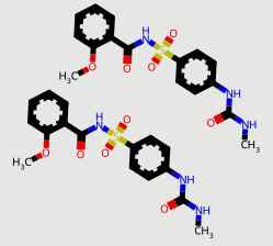 CNC(=O)Nc1ccc(S(=O)(=O)NC(=O)c2ccccc2OC)cc1.CNC(=O)Nc1ccc(S(=O)(=O)NC(=O)c2ccccc2OC)cc1